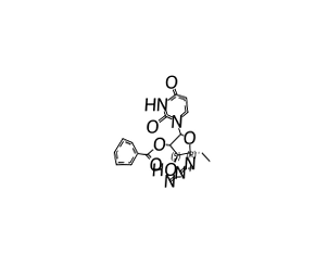 CC[C@@]1(N=[N+]=[N-])OC(n2ccc(=O)[nH]c2=O)C(OC(=O)c2ccccc2)[C@@H]1O